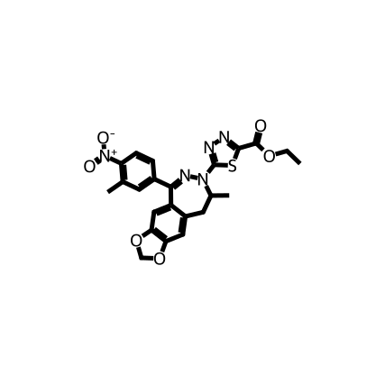 CCOC(=O)c1nnc(N2N=C(c3ccc([N+](=O)[O-])c(C)c3)c3cc4c(cc3CC2C)OCO4)s1